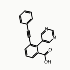 O=C(O)c1cccc(C#Cc2ccccc2)c1-c1cncnc1